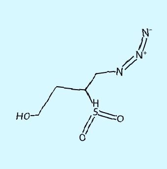 [N-]=[N+]=NCC(CCO)[SH](=O)=O